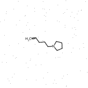 C=CCCCN1CCCC1